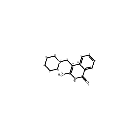 Cc1[nH]c(=O)c2ccccc2c1CN1CCCCC1